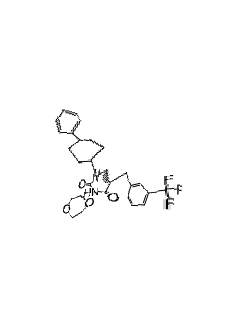 C1COCCO1.O=c1[nH]c(=O)n(C2CCC(c3ccccc3)CC2)cc1Cc1cccc(C(F)(F)F)c1